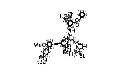 CCOP(C)(=O)c1cc(I)cc(CNCCN(CCNCc2cc(C(=O)OCc3ccccc3)cc(P(C)(=O)OCC)n2)Cc2cc(C#Cc3ccc(OC)c(N4CCN(C(=O)OC(C)(C)C)CC4)c3)cc(P(C)(=O)OCC)n2)n1